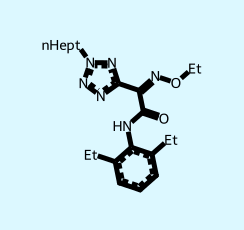 CCCCCCCn1nnc(/C(=N/OCC)C(=O)Nc2c(CC)cccc2CC)n1